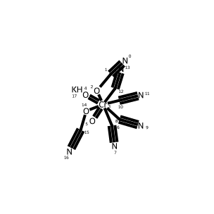 N#C[O][Cr](=[O])(=[O])([C]#N)([C]#N)([C]#N)([C]#N)[O]C#N.[KH]